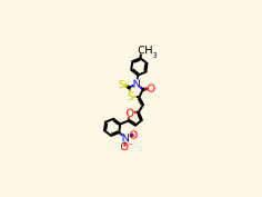 Cc1ccc(N2C(=O)/C(=C/c3ccc(-c4ccccc4[N+](=O)[O-])o3)SC2=S)cc1